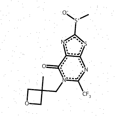 C[S+]([O-])c1nc2c(=O)n(CC3(C)COC3)c(C(F)(F)F)nc2s1